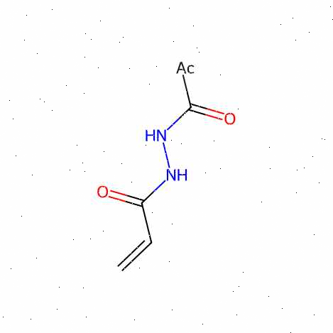 C=CC(=O)NNC(=O)C(C)=O